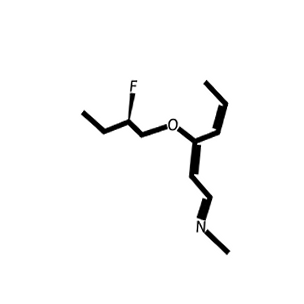 C\C=C/C(=C\C=N\C)OC[C@H](F)CC